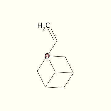 C=COC1C2CCCC1C2